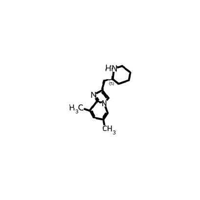 Cc1cc(C)c2nc(C[C@@H]3CCCCN3)cn2c1